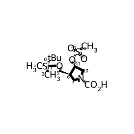 CC(C)(C)[Si](C)(C)OC[C@@H]1CN(C(=O)O)C[C@H]1OS(C)(=O)=O